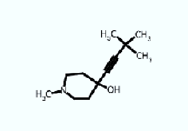 CN1CCC(O)(C#CC(C)(C)C)CC1